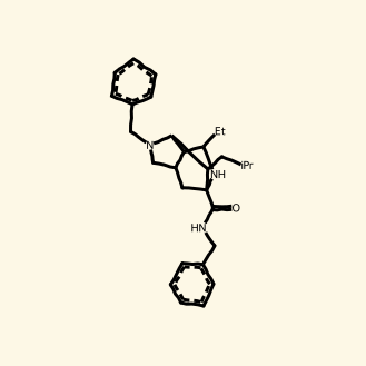 CCC1NC2(C(=O)NCc3ccccc3)CC3CN(Cc4ccccc4)C(C31)C2CC(C)C